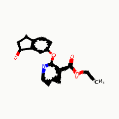 CCOC(=O)c1cccnc1Oc1ccc2c(c1)C(=O)CC2